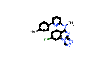 CN(c1cccc(-c2ccc(C(C)(C)C)cc2)n1)c1nc2nncn2c2cc(Cl)ccc12